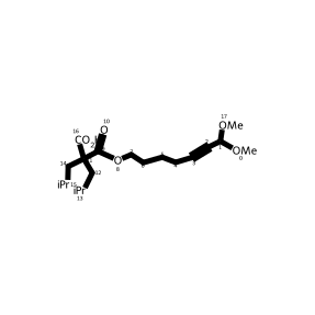 COC(C#CCCCCOC(=O)C(CC(C)C)(CC(C)C)C(=O)O)OC